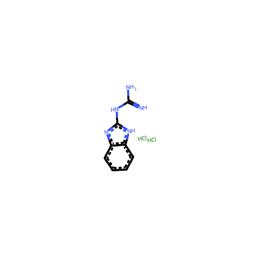 Cl.Cl.N=C(N)Nc1nc2ccccc2[nH]1